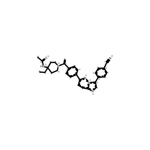 C=C(c1ccc(-c2ccc3ncc(-c4ccc(C#N)cc4)n3n2)cc1)N1CCC(CC)(NC(C)=O)CC1